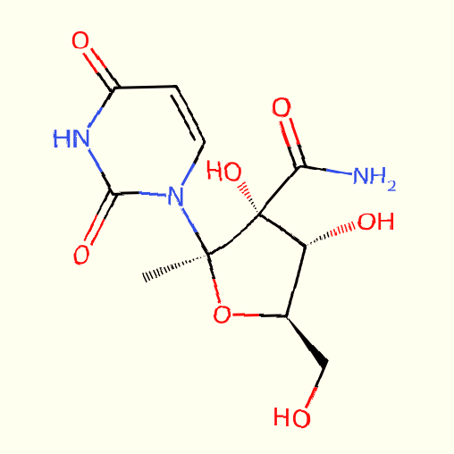 C[C@@]1(n2ccc(=O)[nH]c2=O)O[C@H](CO)[C@@H](O)[C@]1(O)C(N)=O